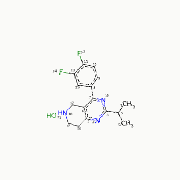 CC(C)c1nc2c(c(-c3ccc(F)c(F)c3)n1)CNCC2.Cl